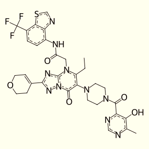 CCc1c(N2CCN(C(=O)c3ncnc(C)c3O)CC2)c(=O)n2nc(C3=CCOCC3)nc2n1CC(=O)Nc1ccc(C(F)(F)F)c2scnc12